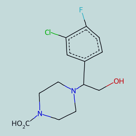 O=C(O)N1CCN(C(CO)c2ccc(F)c(Cl)c2)CC1